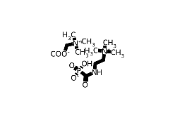 C[N+](C)(C)CC(=O)[O-].C[N+](C)(C)CCNC(=O)P(=O)([O-])O